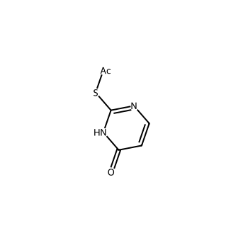 CC(=O)Sc1nccc(=O)[nH]1